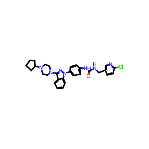 O=C(NCc1ccc(Cl)nc1)Nc1ccc(-n2nc(N3CCN(C4CCCC4)CC3)c3ccccc32)cc1